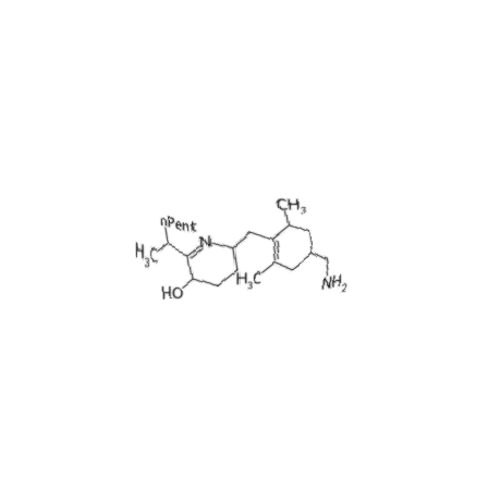 CCCCCC(C)C1=NC(CC2=C(C)CC(CN)CC2C)CCC1O